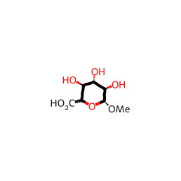 CO[C@@H]1OC(C(=O)O)[C@@H](O)[C@H](O)[C@H]1O